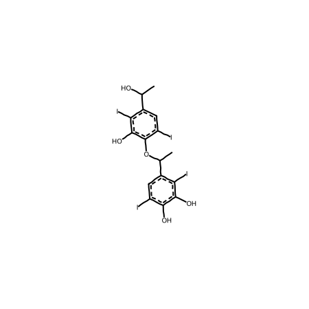 CC(O)c1cc(I)c(OC(C)c2cc(I)c(O)c(O)c2I)c(O)c1I